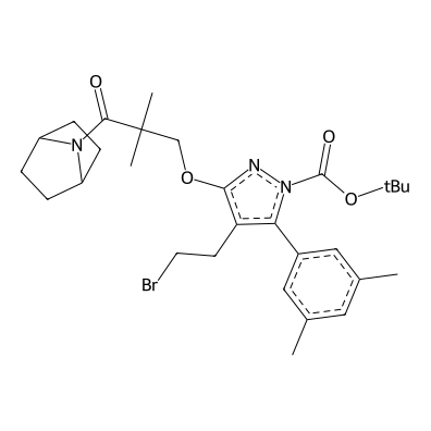 Cc1cc(C)cc(-c2c(CCBr)c(OCC(C)(C)C(=O)N3C4CCC3CC4)nn2C(=O)OC(C)(C)C)c1